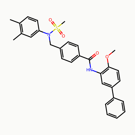 COc1ccc(-c2ccccc2)cc1NC(=O)c1ccc(CN(c2ccc(C)c(C)c2)S(C)(=O)=O)cc1